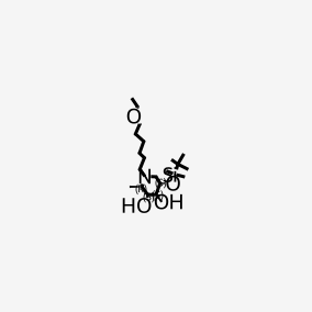 CCOCCCCCCN1C[C@H](O[Si](C)(C)C(C)(C)C)[C@@H](O)[C@@H](O)[C@H]1C